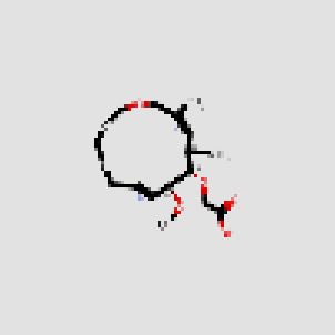 CO[C@H]1/C=C/CCCCCOC/C(C)=C\[C@@H](C)[C@@H]1OCC(=O)O